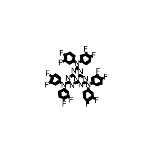 Fc1ccc(N(C2=NC3=NC(N(c4ccc(F)c(F)c4)c4ccc(F)c(F)c4)=NC4=NC(N(c5ccc(F)c(F)c5)c5ccc(F)c(F)c5)=NC(=N2)N34)c2ccc(F)c(F)c2)cc1F